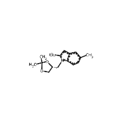 Cc1ccc2c(c1)cc(C(C)(C)C)n2C[C@@H]1COC(C)(C)O1